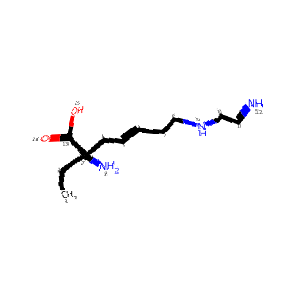 CCC(N)(CC=CCCNCC=N)C(=O)O